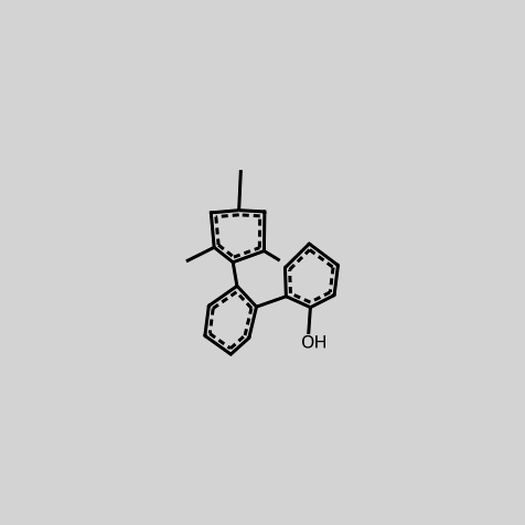 Cc1cc(C)c(-c2ccccc2-c2ccccc2O)c(C)c1